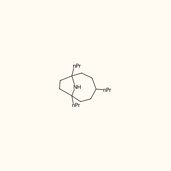 CCCC1CCC2(CCC)CCC(CCC)(CC1)N2